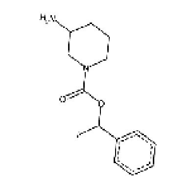 NC1CCCN(C(=O)OC(I)c2ccccc2)C1